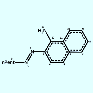 CCCCC/N=N/c1ccc2ccccc2c1N